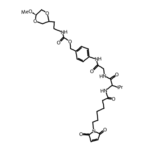 CO[C@H]1COC(CCNC(=O)OCc2ccc(NC(=O)CNC(=O)C(NC(=O)CCCCCN3C(=O)C=CC3=O)C(C)C)cc2)CO1